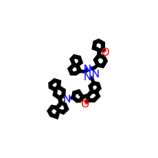 c1ccc2cc3c(cc2c1)c1c2ccccc2ccc1n3-c1ccc2c(c1)oc1ccc3ccc(-c4nc(-c5ccc6oc7ccccc7c6c5)nc(-c5cccc6ccccc56)n4)cc3c12